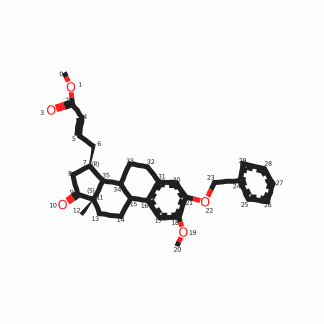 COC(=O)C=CC[C@@H]1CC(=O)[C@@]2(C)CCC3c4cc(OC)c(OCc5ccccc5)cc4CCC3C12